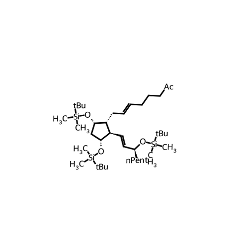 CCCCC[C@@H](C=C[C@@H]1[C@@H](CC=CCCCC(C)=O)[C@@H](O[Si](C)(C)C(C)(C)C)C[C@H]1O[Si](C)(C)C(C)(C)C)O[Si](C)(C)C(C)(C)C